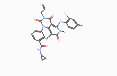 C=CCn1c(=O)c2c(Nc3ccc(I)cc3F)n(C)c(=O)c(C)c2n(-c2cccc(C(=O)NC3CC3)c2)c1=O